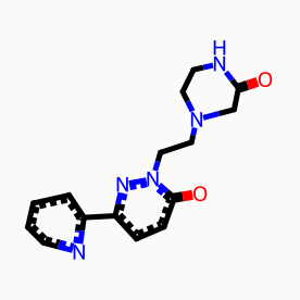 O=C1CN(CCn2nc(-c3ccccn3)ccc2=O)CCN1